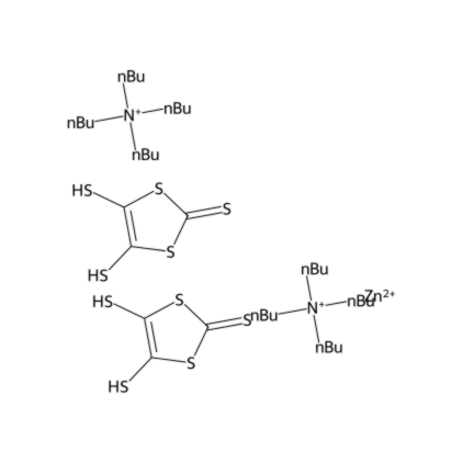 CCCC[N+](CCCC)(CCCC)CCCC.CCCC[N+](CCCC)(CCCC)CCCC.S=c1sc(S)c(S)s1.S=c1sc(S)c(S)s1.[Zn+2]